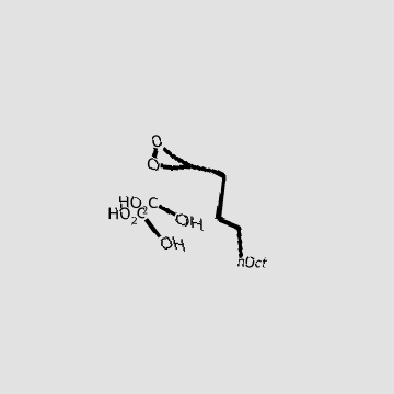 CCCCCCCCCCCC1OO1.O=C(O)O.O=C(O)O